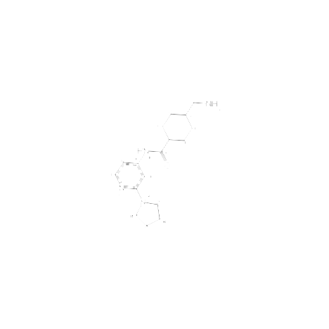 NCC1CCC(C(=O)Nc2ccnc(N3CCCC3)c2)CC1